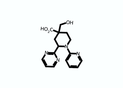 O=C(O)C1(CO)CCN(c2ccccn2)C(c2ncccn2)C1